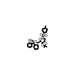 Cc1ccc(S(=O)(=O)OCC2OC(C)(C)O[C@@H]2C(O)CO[Si](c2ccccc2)(c2ccccc2)C(C)(C)C)cc1